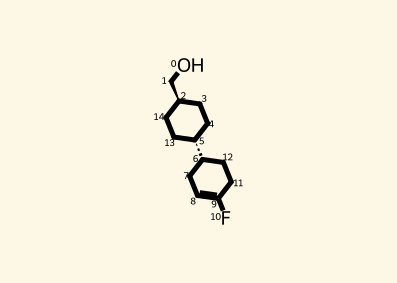 OC[C@H]1CC[C@H](C2CC=C(F)CC2)CC1